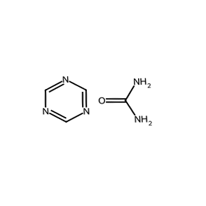 NC(N)=O.c1ncncn1